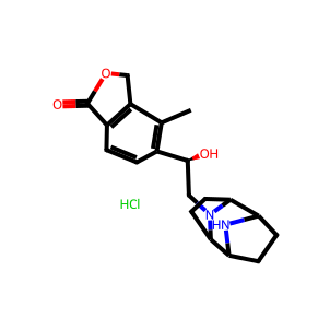 Cc1c([C@@H](O)CN2C3CCC2C2CCC3N2)ccc2c1COC2=O.Cl